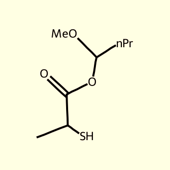 CCCC(OC)OC(=O)C(C)S